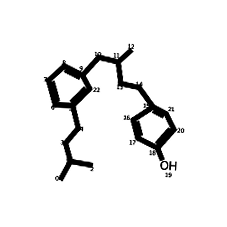 CC(C)CCc1cccc(CC(C)CCc2ccc(O)cc2)c1